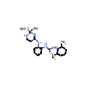 CCOC(=O)C1(SC)N=C(Nc2ccccc2NC(=O)Nc2c(C)cccc2C)C=CN1